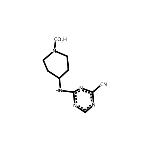 N#Cc1ncnc(NC2CCN(C(=O)O)CC2)n1